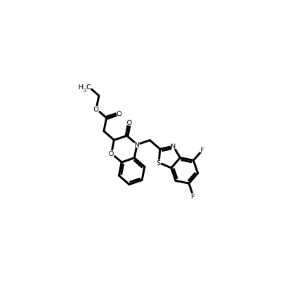 CCOC(=O)CC1Oc2ccccc2N(Cc2nc3c(F)cc(F)cc3s2)C1=O